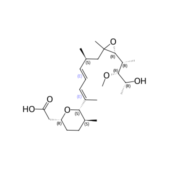 CO[C@H]([C@@H](C)[C@H]1OC1(C)C[C@H](C)/C=C/C=C(\C)[C@H]1O[C@@H](CC(=O)O)CC[C@@H]1C)[C@@H](C)O